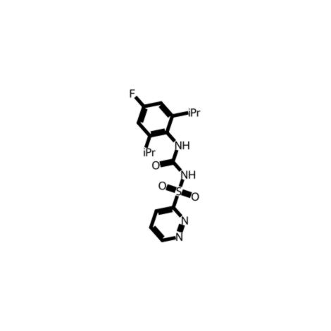 CC(C)c1cc(F)cc(C(C)C)c1NC(=O)NS(=O)(=O)c1cccnn1